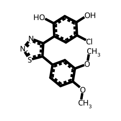 COc1ccc(-c2snnc2-c2cc(Cl)c(O)cc2O)cc1OC